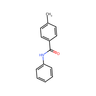 Cc1ccc(C(=O)Nc2cc[c]cc2)cc1